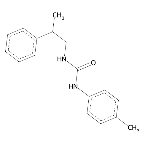 Cc1ccc(NC(=O)NCC(C)c2ccccc2)cc1